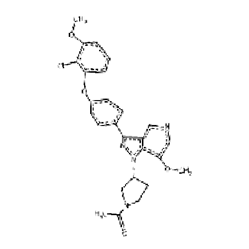 COc1cccc(Oc2ccc(-c3nn([C@@H]4CCN(C(C)=O)C4)c4c(OC)cncc34)cc2)c1Cl